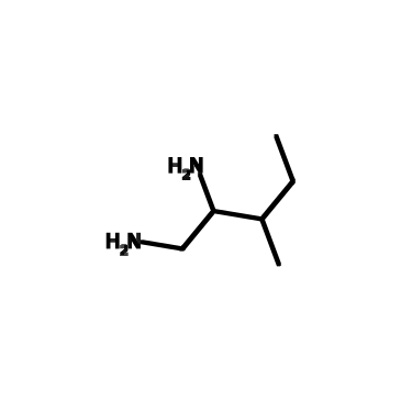 CCC(C)C(N)CN